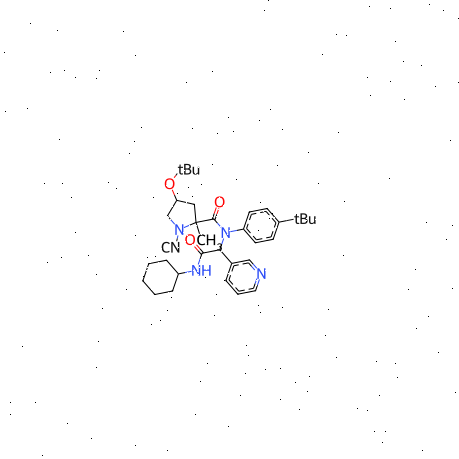 CC(C)(C)OC1CN(C#N)C(C)(C(=O)N(c2ccc(C(C)(C)C)cc2)C(C(=O)NC2CCCCC2)c2cccnc2)C1